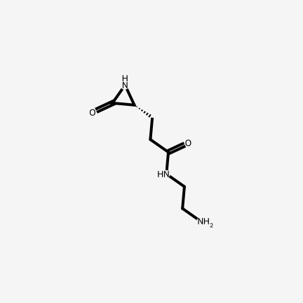 NCCNC(=O)CC[C@H]1NC1=O